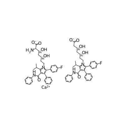 CC(C)c1c(C(=O)Nc2ccccc2)c(-c2ccccc2)c(-c2ccc(F)cc2)n1CC[C@@H](O)C[C@@H](O)C(N)C(=O)[O-].CC(C)c1c(C(=O)Nc2ccccc2)c(-c2ccccc2)c(-c2ccc(F)cc2)n1CC[C@@H](O)C[C@@H](O)CC(=O)[O-].[Ca+2]